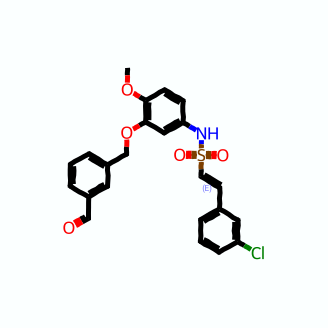 COc1ccc(NS(=O)(=O)/C=C/c2cccc(Cl)c2)cc1OCc1cccc(C=O)c1